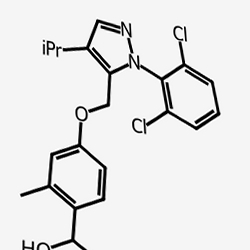 Cc1cc(OCc2c(C(C)C)cnn2-c2c(Cl)cccc2Cl)ccc1C(C)O